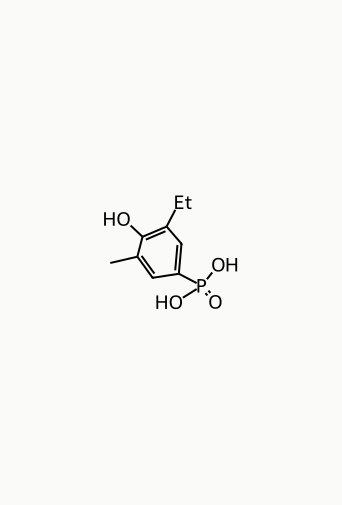 CCc1cc(P(=O)(O)O)cc(C)c1O